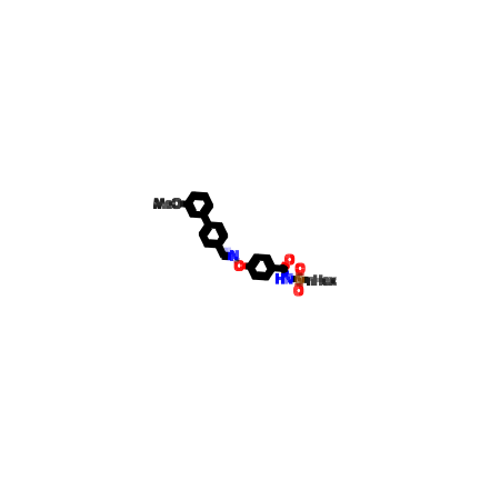 CCCCCCS(=O)(=O)NC(=O)c1ccc(O/N=C/c2ccc(-c3cccc(OC)c3)cc2)cc1